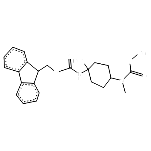 CN(C(=O)OC(C)(C)C)C1CCC(NC(=O)OCC2c3ccccc3-c3ccccc32)(C(=O)O)CC1